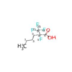 CCCCC(F)(C(=O)O)C(F)(F)F